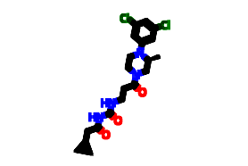 C[C@H]1CN(C(=O)CCNC(=O)NC(=O)CC2CC2)CCN1c1cc(Cl)cc(Cl)c1